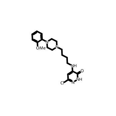 COc1ccccc1N1CCN(CCCCNc2cc(Cl)n[nH]c2=O)CC1